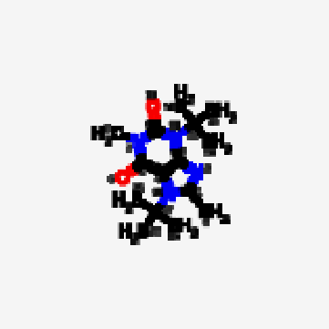 Bc1nc2c(c(=O)n(C)c(=O)n2C(B)(B)B)n1C(B)(B)B